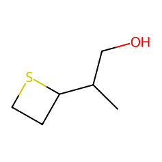 CC(CO)C1CCS1